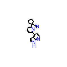 N#CC1(c2cccc(-c3ccnc4[nH]ccc34)n2)CCCC1